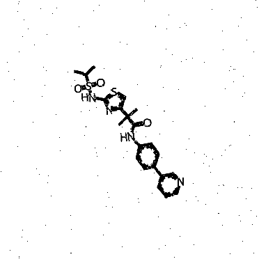 CC(C)S(=O)(=O)Nc1nc(C(C)(C)C(=O)Nc2ccc(-c3cccnc3)cc2)cs1